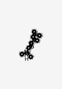 c1ccc(C2=NC(c3ccc4c(c3)oc3cc(-n5c6ccccc6c6c5ccc5c7ccccc7n(-c7ccccc7)c56)ccc34)=NC(c3ccccc3)N2)cc1